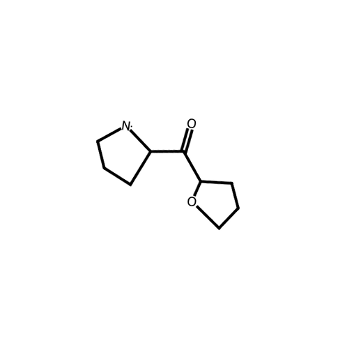 O=C(C1CCC[N]1)C1CCCO1